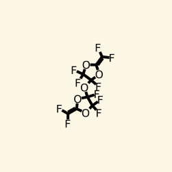 FC(F)=C1OC(F)(F)C(F)(OC2(F)OC(=C(F)F)OC2(F)F)O1